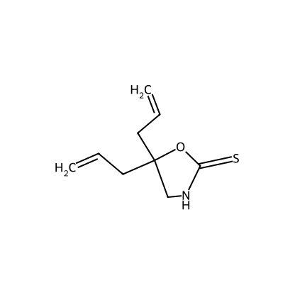 C=CCC1(CC=C)CNC(=S)O1